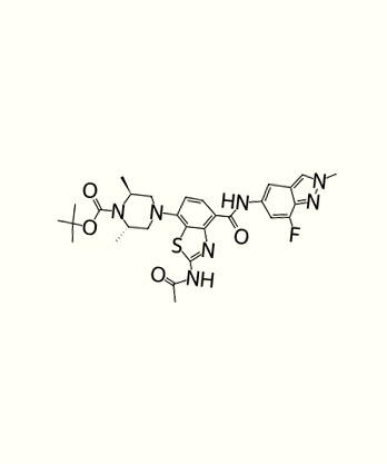 CC(=O)Nc1nc2c(C(=O)Nc3cc(F)c4nn(C)cc4c3)ccc(N3C[C@H](C)N(C(=O)OC(C)(C)C)[C@@H](C)C3)c2s1